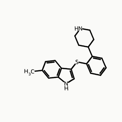 Cc1ccc2c(Sc3ccccc3C3CCNCC3)c[nH]c2c1